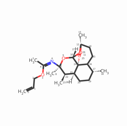 C=CCO/C(C)=N\[C@@]1(C)O[C@@H]2O[C@]3(C)CCC4[C@H](C)CC[C@@H]([C@H]1C)[C@]42OO3